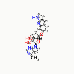 Cc1ncnc2c1ccn2[C@@H]1O[C@@H]2[C@@H](Oc3ccc4cc5c(nc4c3)NCC5)CC[C@]2(O)C1O